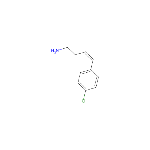 NCC/C=C\c1ccc(Cl)cc1